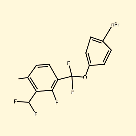 CCCc1ccc(OC(F)(F)c2ccc(C)c(C(F)F)c2F)cc1